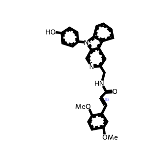 COc1ccc(OC)c(/C=C/C(=O)NCc2cc3c4ccccc4n(-c4ccc(O)cc4)c3cn2)c1